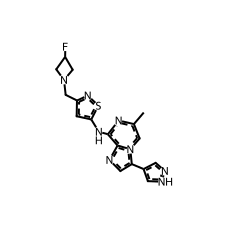 Cc1cn2c(-c3cn[nH]c3)cnc2c(Nc2cc(CN3CC(F)C3)ns2)n1